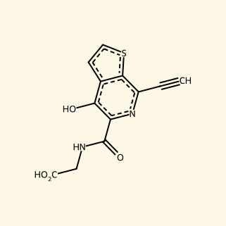 C#Cc1nc(C(=O)NCC(=O)O)c(O)c2ccsc12